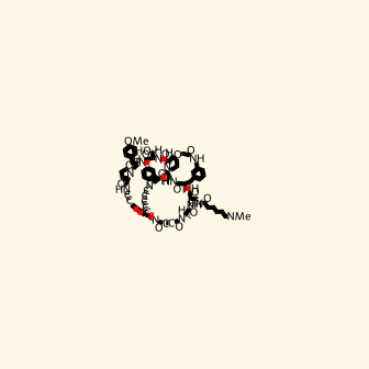 CNCCCCCC(=O)NCC1NC(=O)[C@H](C)NC(=O)CCC(=O)N2CCCCCCn3cc(c4cc(F)ccc43)C[C@@H]3NC(=O)[C@H](Cc4cccc(c4)CNC(=O)CO[C@H]4CCCN(C3=O)[C@H]4C(=O)NC([C@@H](C)O)C(=O)N[C@@H](Cc3ccc(OC)cc3)C(=O)N3CCC[C@@]3(C)C(=O)NCCc3ccc(cc3)C2)NC1=O